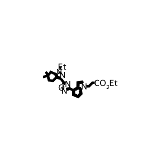 CCOC(=O)CCn1ccc2c(-c3noc(-c4nn(CC)c5c4CCC(C)(C)C5)n3)cccc21